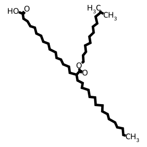 CCCCCCCCCCCCCCCCC(CCCCCCCCCCCCCCCC(=O)O)C(=O)OCCCCCCCCCCC(C)C